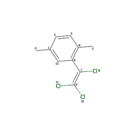 Cc1ccc(C)c(C(Cl)=C(Cl)Cl)c1